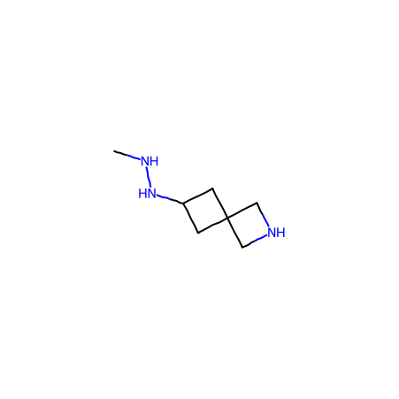 CNNC1CC2(CNC2)C1